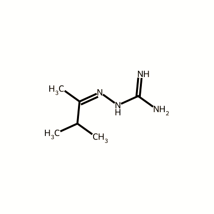 CC(=NNC(=N)N)C(C)C